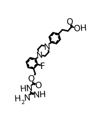 N=C(N)NC(=O)OCc1cccc(N2CCN(c3ccc(CCC(=O)O)cc3)CC2)c1F